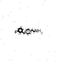 NCCN1CCN(Cc2cccc(F)c2)CC1